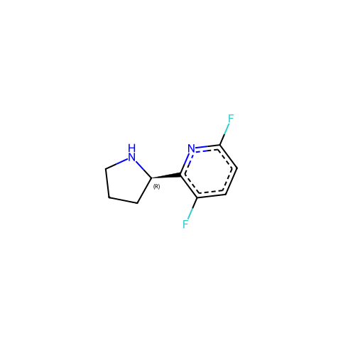 Fc1ccc(F)c([C@H]2CCCN2)n1